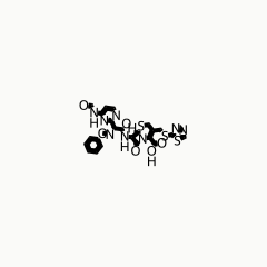 O=CNc1ccnc(C(=NOc2ccccc2)C(=O)NC2C(=O)N3C(C(=O)O)=C(CSc4nncs4)CS[C@@H]23)n1